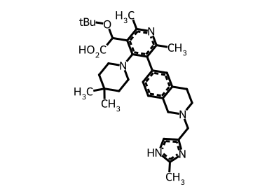 Cc1nc(CN2CCc3cc(-c4c(C)nc(C)c(C(OC(C)(C)C)C(=O)O)c4N4CCC(C)(C)CC4)ccc3C2)c[nH]1